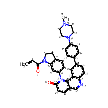 C=CC(=O)N1CCc2ccc(-n3c(=O)ccc4cnc5ccc(-c6ccc(N7CCN(C)CC7)cc6)cc5c43)cc21